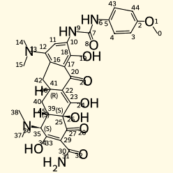 COc1ccc(NC(=O)Nc2cc(N(C)C)c3c(c2O)C(=O)C2=C(O)[C@]4(O)C(=O)C(C(N)=O)=C(O)[C@@H](N(C)C)[C@@H]4C[C@@H]2C3)cc1